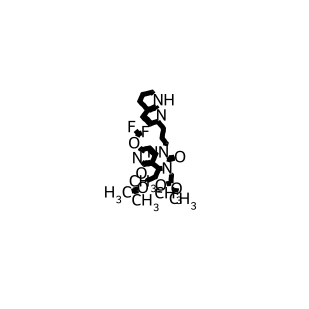 COC(CN(C(=O)NCCCc1ccc2c(n1)NCCC2)C(CC(=O)OC(C)(C)C)c1ccc(OC(F)F)nc1)OC